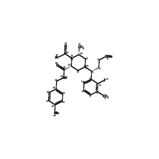 COCC[C@H](c1nccc(C)c1F)N1C[C@@H](C)N(C(=O)C(C)C)[C@@H](C(=O)NCc2ccc(C(C)(C)C)cc2)C1